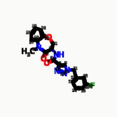 CN1C(=O)[C@H](NC(=O)c2cn(Cc3cccc(F)c3)nn2)COc2ccccc21